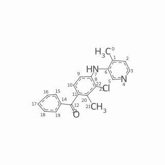 Cc1ccncc1Nc1ccc(C(=O)c2ccccc2)c(C)c1Cl